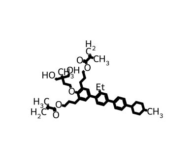 C=C(C)C(=O)OCCCc1cc(-c2ccc(-c3ccc(C4CCC(C)CC4)cc3)cc2CC)cc(CCCOC(=O)C(=C)C)c1OCCC(C)(CO)CO